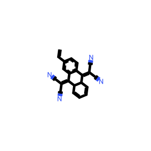 C=Cc1ccc2c(c1)C(=C(C#N)C#N)C1C=CC=CC1C2=C(C#N)C#N